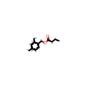 CCCC(=O)OCc1ccc(C)cc1C